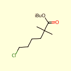 CC(C)COC(=O)C(C)(C)CCCCCl